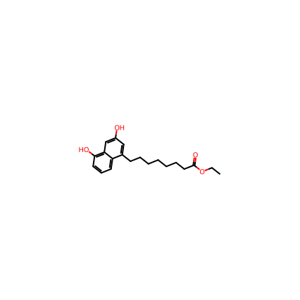 CCOC(=O)CCCCCCCc1cc(O)cc2c(O)cccc12